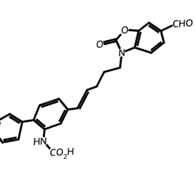 O=Cc1ccc2c(c1)oc(=O)n2CCCC=Cc1ccc(-c2ccccc2)c(NC(=O)O)c1